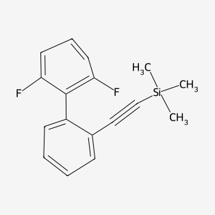 C[Si](C)(C)C#Cc1ccccc1-c1c(F)cccc1F